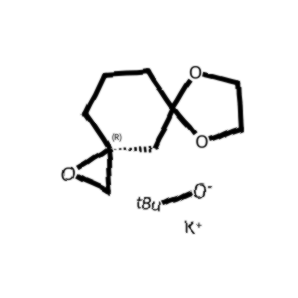 C1CC2(C[C@]3(C1)CO3)OCCO2.CC(C)(C)[O-].[K+]